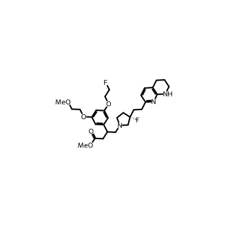 COCCOc1cc(OCCF)cc(C(CC(=O)OC)CN2CC[C@@](F)(CCc3ccc4c(n3)NCCC4)C2)c1